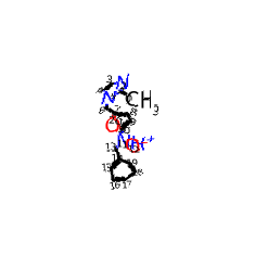 Cc1nccn1Cc1ccc([NH+]([O-])Cc2ccccc2)o1